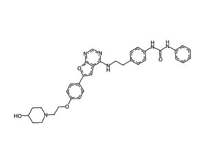 O=C(Nc1ccccc1)Nc1ccc(CCNc2ncnc3oc(-c4ccc(OCCN5CCC(O)CC5)cc4)cc23)cc1